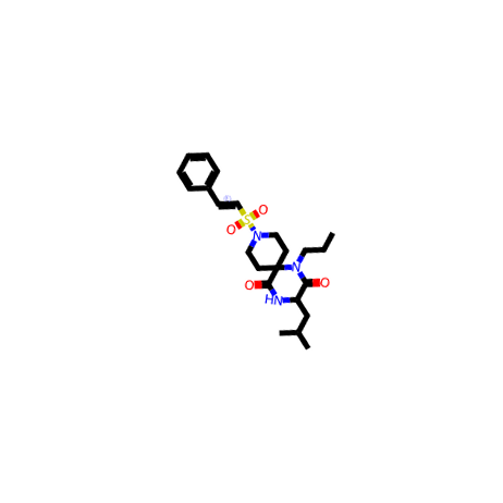 CCCN1C(=O)C(CC(C)C)NC(=O)C12CCN(S(=O)(=O)/C=C/c1ccccc1)CC2